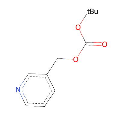 CC(C)(C)OC(=O)OCc1cccnc1